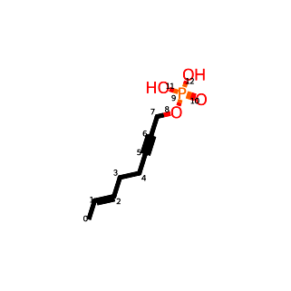 CC=CCCC#CCOP(=O)(O)O